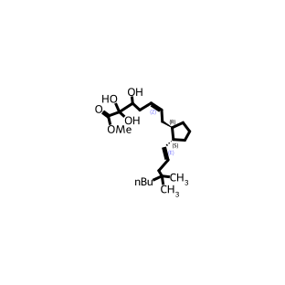 CCCCC(C)(C)C/C=C/[C@H]1CCC[C@@H]1C/C=C\CC(O)C(O)(O)C(=O)OC